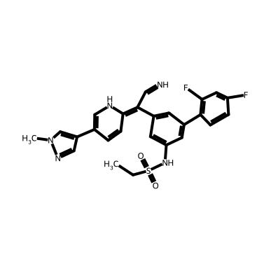 CCS(=O)(=O)Nc1cc(/C(C=N)=C2\C=CC(c3cnn(C)c3)=CN2)cc(-c2ccc(F)cc2F)c1